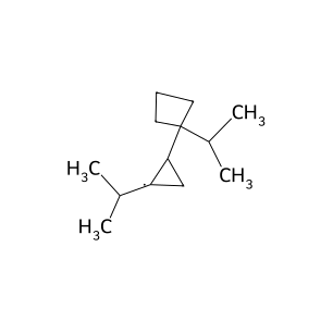 CC(C)[C]1CC1C1(C(C)C)CCC1